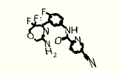 C[C@]1(c2cc(NC(=O)c3ccc(C#N)cn3)ccc2F)N=C(N)COCC1(F)F